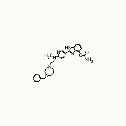 CN(CCN1CCCN(Cc2ccccc2)CC1)c1ccc(-c2nc3c(OC(N)=O)cccc3[nH]2)cn1